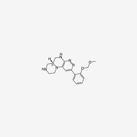 COCOc1ccccc1-c1cc2c(nn1)NC[C@H]1CNCCN21